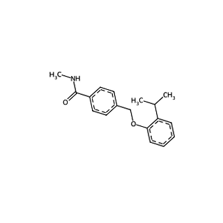 CNC(=O)c1ccc(COc2ccccc2C(C)C)cc1